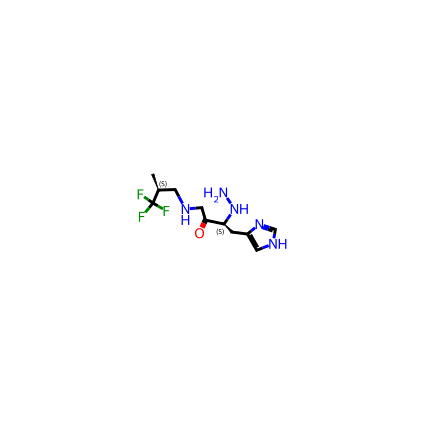 C[C@@H](CNCC(=O)[C@H](Cc1c[nH]cn1)NN)C(F)(F)F